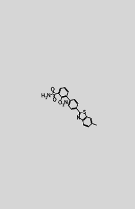 Cc1ccc2nc(-c3ccc(-c4cccc(S(N)(=O)=O)c4[N+](=O)[O-])cc3)sc2c1